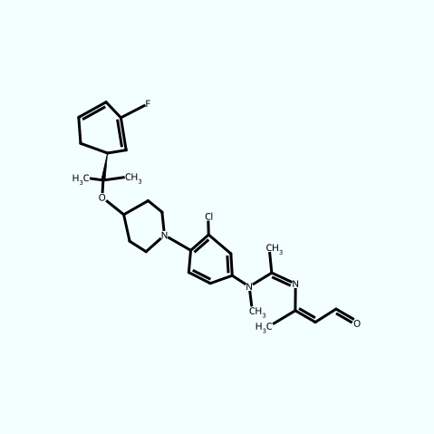 CC(=C/C=O)/N=C(/C)N(C)c1ccc(N2CCC(OC(C)(C)[C@@H]3C=C(F)C=CC3)CC2)c(Cl)c1